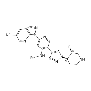 CC(C)Nc1cc(-n2ncc3cc(C#N)cnc32)ncc1-c1cn([C@@H]2CCNC[C@@H]2F)nn1